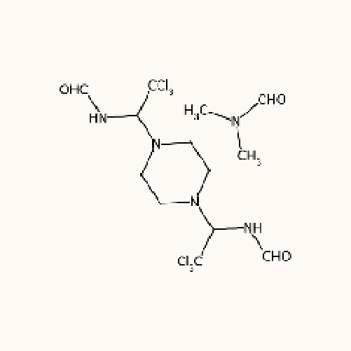 CN(C)C=O.O=CNC(N1CCN(C(NC=O)C(Cl)(Cl)Cl)CC1)C(Cl)(Cl)Cl